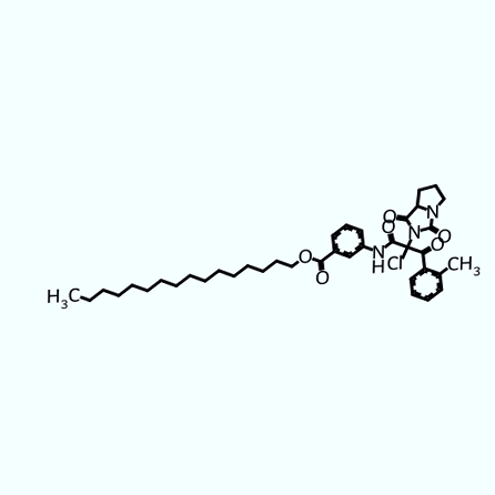 CCCCCCCCCCCCCCCCOC(=O)c1cccc(NC(=O)C(Cl)(C(=O)c2ccccc2C)N2C(=O)C3CCCN3C2=O)c1